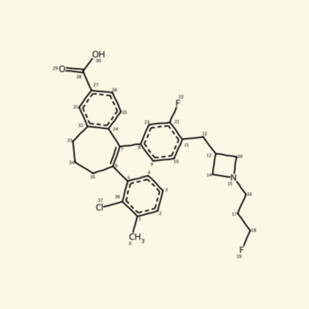 Cc1cccc(C2=C(c3ccc(CC4CN(CCCF)C4)c(F)c3)c3ccc(C(=O)O)cc3CCC2)c1Cl